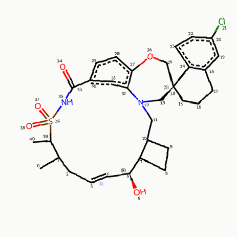 CC1C/C=C/[C@H](O)C2CCC2CN2C[C@@]3(CCCc4cc(Cl)ccc43)COc3ccc(cc32)C(=O)NS(=O)(=O)C1C